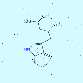 CCCCC(C)CC(C)Cc1c[nH]c2ccccc12